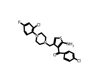 Nc1scc(CN2CCN(c3ccc(F)cc3Cl)CC2)c1C(=O)c1ccc(Cl)cc1